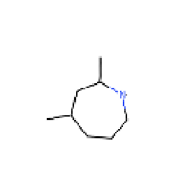 CC1CCC[N]C(C)C1